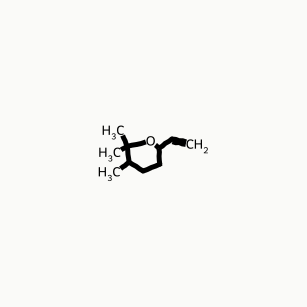 C=CC1CCC(C)C(C)(C)O1